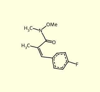 CON(C)C(=O)C(C)=Cc1ccc(F)cc1